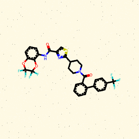 O=C(Nc1cccc2c1OC(F)(F)C(F)(F)O2)c1csc(C2CCN(C(=O)c3ccccc3-c3ccc(C(F)(F)F)cc3)CC2)n1